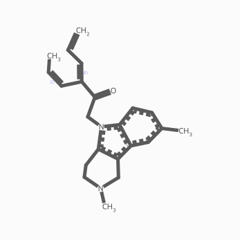 C=C/C=C(\C=C/C)C(=O)Cn1c2c(c3cc(C)ccc31)CN(C)CC2